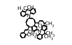 C=C/C=C\C(=C)c1ccc(N2c3ccccc3C(C)(C)c3ccccc32)cccc(/C(C)=C/c2ccccc2C)c2ccc(N3c4ccccc4C(C)(C)c4ccccc43)cc12